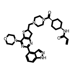 C=CC(=O)N[C@H]1CC[C@@H](C(=O)N2CCN(CC3Cc4nc(-c5cccc6[nH]ncc56)nc(N5CCOCC5)c4S3)CC2)CC1